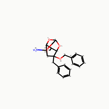 CC1C2OC3OC1C(Cc1ccccc1)(OCc1ccccc1)C(O3)C2N